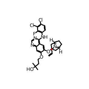 C=CCN1[C@@H]2CC[C@H]1CC(Oc1cc3c(Nc4ccc(Cl)c(Cl)c4F)ncnc3cc1OCCC(C)(C)O)C2